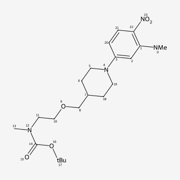 CNc1cc(N2CCC(COCCN(C)C(=O)OC(C)(C)C)CC2)ccc1[N+](=O)[O-]